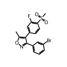 Cc1onc(-c2cccc(Br)c2)c1-c1ccc(S(C)(=O)=O)c(F)c1